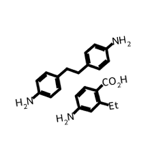 CCc1cc(N)ccc1C(=O)O.Nc1ccc(CCc2ccc(N)cc2)cc1